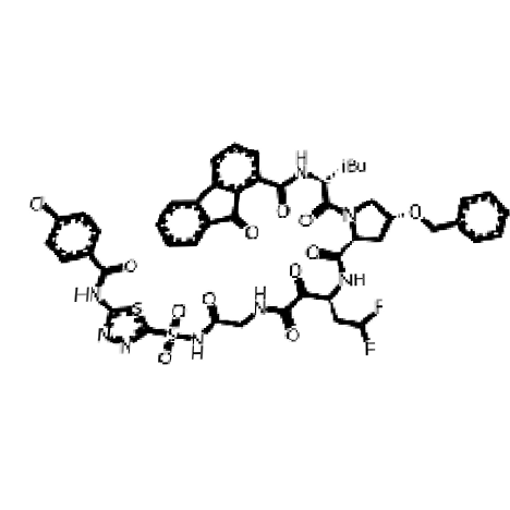 CC[C@@H](C)[C@H](NC(=O)c1cccc2c1C(=O)c1ccccc1-2)C(=O)N1C[C@H](OCc2ccccc2)C[C@H]1C(=O)N[C@@H](CC(F)F)C(=O)C(=O)NCC(=O)NS(=O)(=O)c1nnc(NC(=O)c2ccc(Cl)cc2)s1